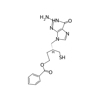 Nc1nc2c(ncn2C[C@H](CS)CCOC(=O)c2ccccc2)c(=O)[nH]1